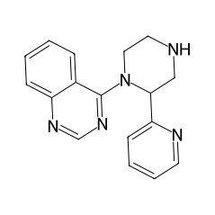 c1ccc(C2CNCCN2c2ncnc3ccccc23)nc1